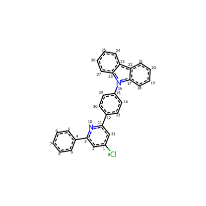 Clc1cc(-c2ccccc2)nc(-c2ccc(-n3c4ccccc4c4ccccc43)cc2)c1